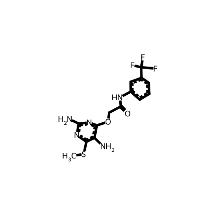 CSc1nc(N)nc(OCC(=O)Nc2cccc(C(F)(F)F)c2)c1N